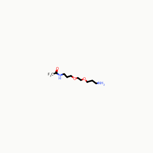 NCCCOCCOCCCNC(=O)C(F)(F)F